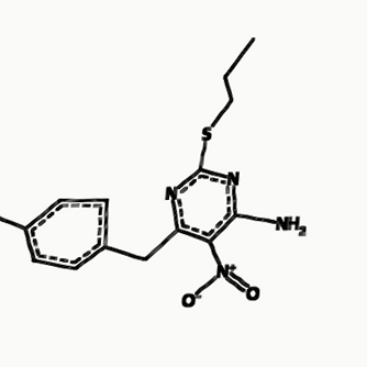 CCCSc1nc(N)c([N+](=O)[O-])c(Cc2ccc(C)cc2)n1